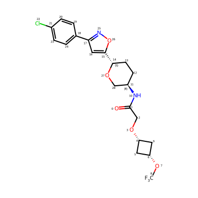 O=C(CO[C@H]1C[C@@H](OC(F)(F)F)C1)N[C@@H]1CC[C@@H](c2cc(-c3ccc(Cl)cc3)no2)OC1